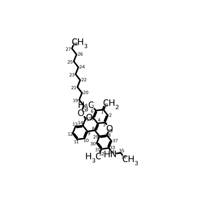 C=c1cc2c(cc1C)=C(c1ccccc1C(=O)OCCCCCCCCCCC)c1cc(C)c(NCC)cc1O2